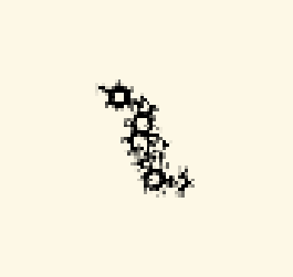 COCC12Cc3cnn(-c4ccc(F)cc4)c3C=C1CCN(S(=O)(=O)c1cncc(N3CCC3)c1)C2